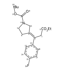 CCOC(=O)CC(=C1CCN(C(=O)OC(C)(C)C)C1)c1ccc(F)cc1